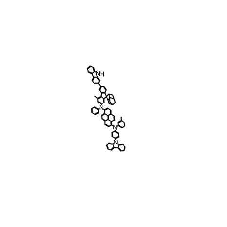 Cc1cccc(N(c2ccc(-n3c4ccccc4c4ccccc43)cc2)c2ccc3ccc4c(N(c5ccccc5)c5cc(C)c6c(c5)C5(c7ccc(-c8ccc9c(c8)[nH]c8ccccc89)cc7-6)C6CC7CC(C6)CC5C7)ccc5ccc2c3c54)c1